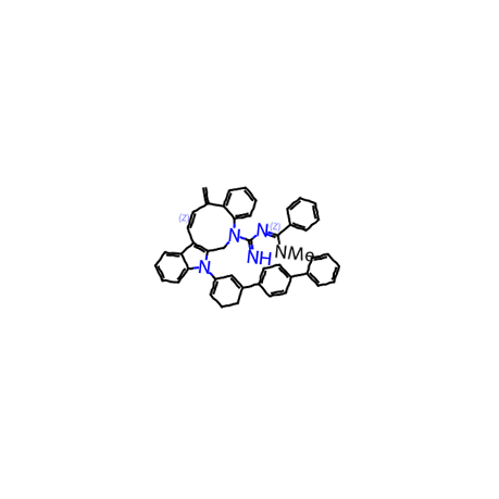 C=C1/C=C\c2c(n(C3=CCCC(c4ccc(-c5ccccc5)cc4)=C3)c3ccccc23)CN(C(=N)/N=C(\NC)c2ccccc2)c2ccccc21